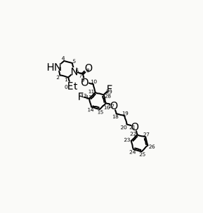 CCC1CNCCN1C(=O)OCc1c(F)ccc(OCCCOc2ccccc2)c1F